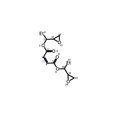 CCC(OC(=O)/C=C\C(=O)OC(CC)C1CO1)C1CO1